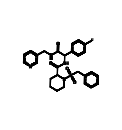 O=C(NCc1cccnc1)C(NC(=O)C1CCCCN1S(=O)(=O)Cc1ccccc1)c1ccc(F)cc1